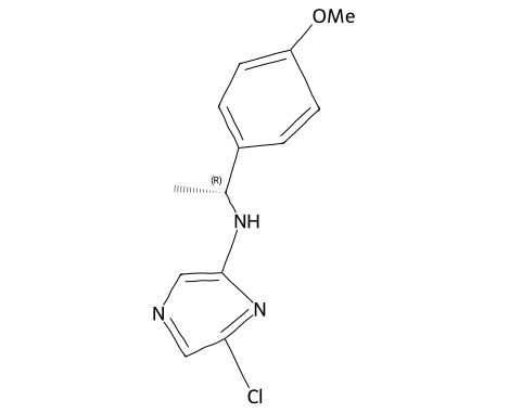 COc1ccc([C@@H](C)Nc2cncc(Cl)n2)cc1